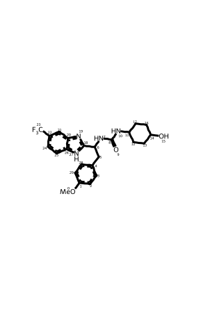 COc1ccc(CC(NC(=O)NC2CCC(O)CC2)c2nc3cc(C(F)(F)F)ccc3[nH]2)cc1